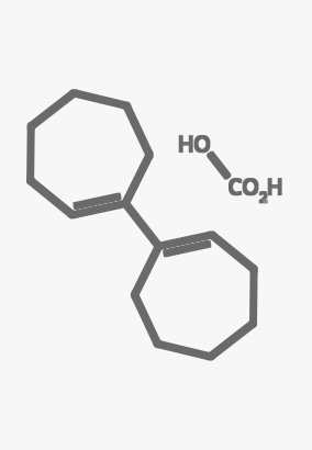 C1=C(C2=CCCCCC2)CCCCC1.O=C(O)O